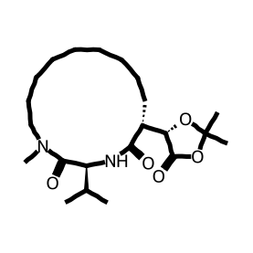 CC(C)[C@@H]1NC(=O)[C@@H]([C@@H]2OC(C)(C)OC2=O)CCCCCCCCCN(C)C1=O